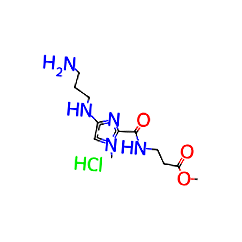 COC(=O)CCNC(=O)c1nc(NCCCN)cn1C.Cl